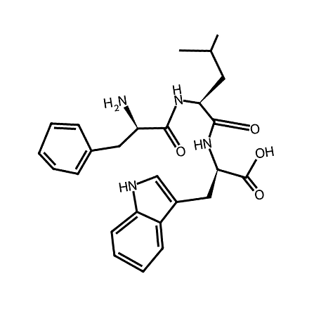 CC(C)C[C@H](NC(=O)[C@H](N)Cc1ccccc1)C(=O)N[C@H](Cc1c[nH]c2ccccc12)C(=O)O